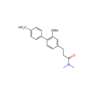 COc1cc(CCC(=O)N(C)C)ccc1-c1ccc(C(=O)O)cc1